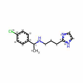 CC(NCCCc1ncc[nH]1)c1ccc(Cl)cc1